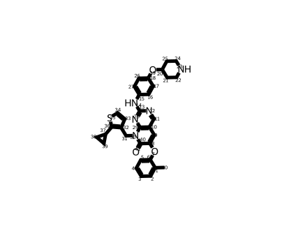 Cc1ccccc1Oc1cc2cnc(Nc3ccc(OC4CCNCC4)cc3)nc2n(Cc2ccsc2C2CC2)c1=O